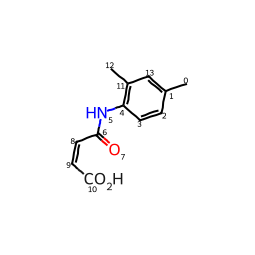 Cc1ccc(NC(=O)/C=C\C(=O)O)c(C)c1